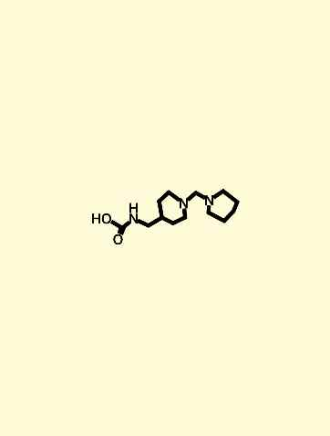 O=C(O)NCC1CCN(CN2CCCCC2)CC1